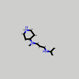 CC(C)NCCCN(C)C1CCNCC1